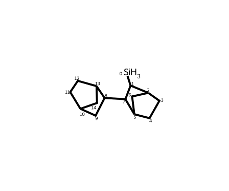 [SiH3]C1C2CCC(C2)C1C1CC2CCC1C2